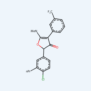 CCCc1cc(C2OC(NC)=C(c3cccc(C(F)(F)F)c3)C2=O)ccc1Cl